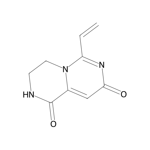 C=Cc1nc(=O)cc2n1CCNC2=O